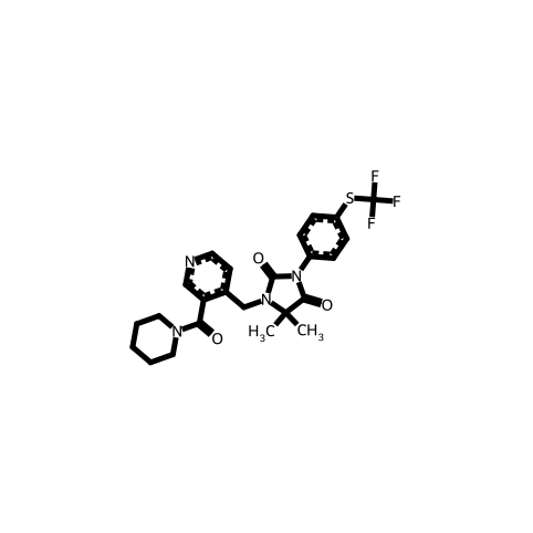 CC1(C)C(=O)N(c2ccc(SC(F)(F)F)cc2)C(=O)N1Cc1ccncc1C(=O)N1CCCCC1